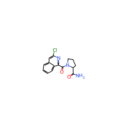 NC(=O)C1CCCN1C(=O)c1nc(Cl)cc2ccccc12